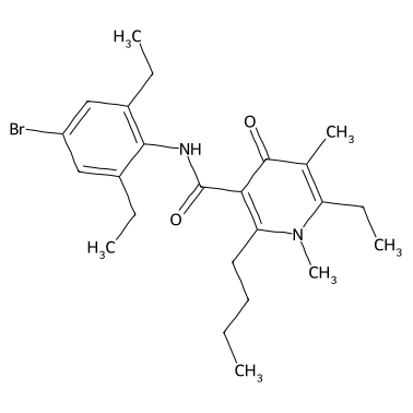 CCCCc1c(C(=O)Nc2c(CC)cc(Br)cc2CC)c(=O)c(C)c(CC)n1C